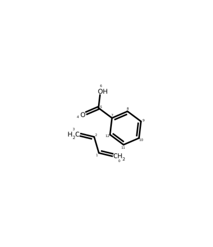 C=CC=C.O=C(O)c1ccccc1